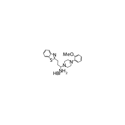 Br.COc1ccccc1N1CCN(C(N)CCc2nc3ccccc3s2)CC1